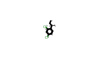 CC[C@@H](C)c1ccc(Cl)cc1Cl